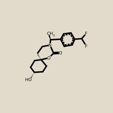 C[C@@H](c1ccc(C(F)F)cc1)N1CC[C@]2(CC[C@@H](O)CC2)OC1=O